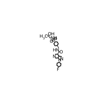 C[C@H](O)CNS(=O)(=O)c1ccc(CNC(=O)c2cncc3c2cnn3-c2ccc(F)cc2)cc1